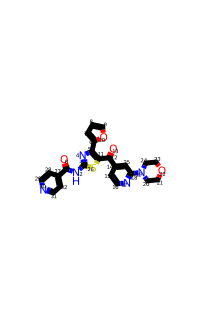 O=C(Nc1nc(-c2ccco2)c(C(=O)c2ccnc(N3CCOCC3)c2)s1)c1ccncc1